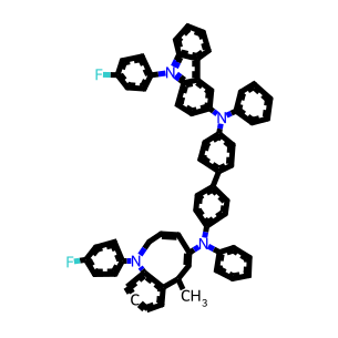 CC1/C=C(N(c2ccccc2)c2ccc(-c3ccc(N(c4ccccc4)c4ccc5c(c4)c4ccccc4n5-c4ccc(F)cc4)cc3)cc2)\C=C/CN(c2ccc(F)cc2)c2ccccc21